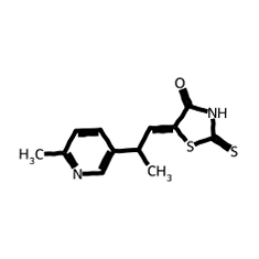 Cc1ccc(C(C)/C=C2\SC(=S)NC2=O)cn1